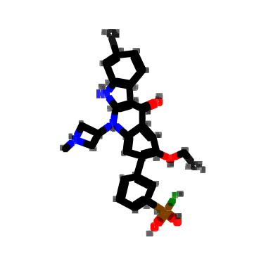 CN1CC(n2c3cc(-c4cccc(S(=O)(=O)F)c4)c(OCC(F)(F)F)cc3c(=O)c3c4ccc(C#N)cc4[nH]c32)C1